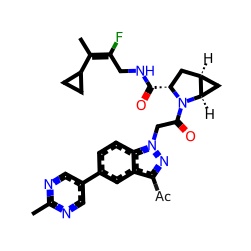 CC(=O)c1nn(CC(=O)N2[C@@H]3C[C@@H]3C[C@H]2C(=O)NCC(F)=C(C)C2CC2)c2ccc(-c3cnc(C)nc3)cc12